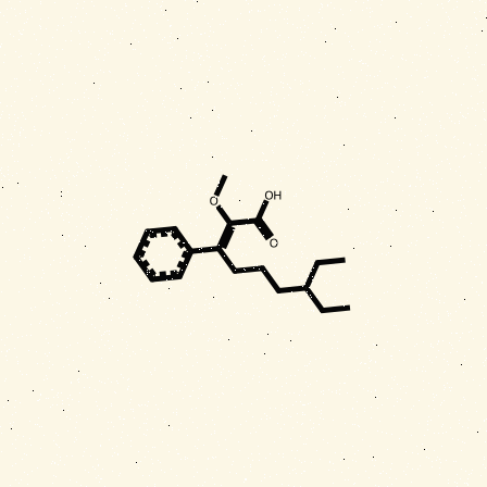 CCC(CC)CCCC(=C(OC)C(=O)O)c1ccccc1